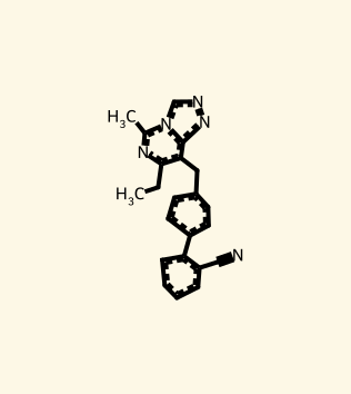 CCc1nc(C)n2cnnc2c1Cc1ccc(-c2ccccc2C#N)cc1